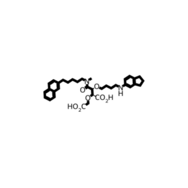 CN(CCCCCc1ccc2ccccc2c1)C(=O)[C@H](OCCCCNc1ccc2c(c1)CCC2)[C@@H](OCC(=O)O)C(=O)O